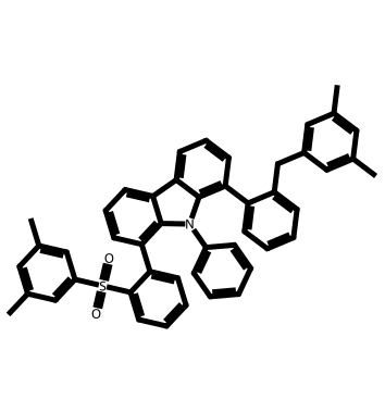 Cc1cc(C)cc(Cc2ccccc2-c2cccc3c4cccc(-c5ccccc5S(=O)(=O)c5cc(C)cc(C)c5)c4n(-c4ccccc4)c23)c1